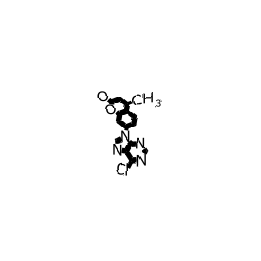 Cc1cc(=O)oc2cc(-n3cnc4c(Cl)ncnc43)ccc12